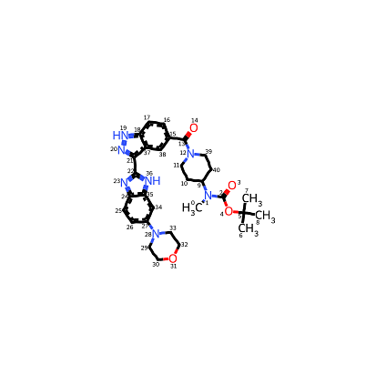 CN(C(=O)OC(C)(C)C)C1CCN(C(=O)c2ccc3[nH]nc(-c4nc5ccc(N6CCOCC6)cc5[nH]4)c3c2)CC1